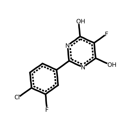 Oc1nc(-c2ccc(Cl)c(F)c2)nc(O)c1F